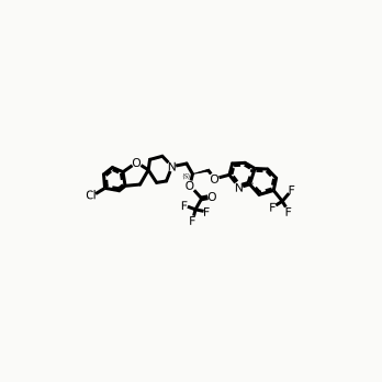 O=C(O[C@H](COc1ccc2ccc(C(F)(F)F)cc2n1)CN1CCC2(CC1)Cc1cc(Cl)ccc1O2)C(F)(F)F